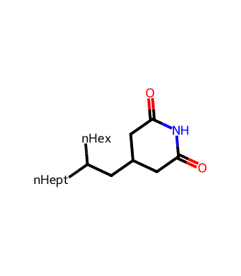 CCCCCCCC(CCCCCC)CC1CC(=O)NC(=O)C1